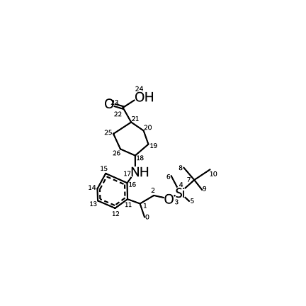 CC(CO[Si](C)(C)C(C)(C)C)c1ccccc1NC1CCC(C(=O)O)CC1